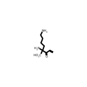 C=CC(=O)C(N)(CCCCN)C(=O)O